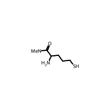 CNC(=O)C(N)CCCS